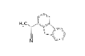 CC(C#N)c1cccc2c1Cc1ccccc1-2